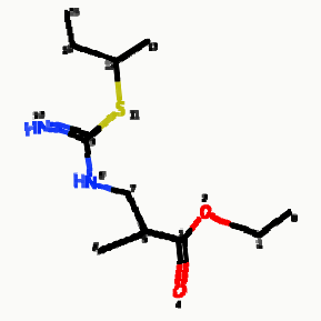 CCOC(=O)C(C)CNC(=N)SC(C)CC